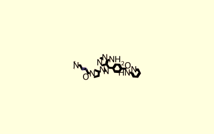 CN(C)C/C=C/C(=O)N1CCC(n2nc(-c3ccc(C(=O)Nc4ccccn4)cc3)c3c(N)ncnc32)C1